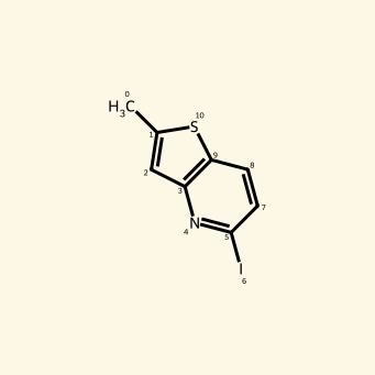 Cc1cc2nc(I)ccc2s1